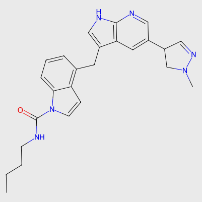 CCCCNC(=O)n1ccc2c(Cc3c[nH]c4ncc(C5C=NN(C)C5)cc34)cccc21